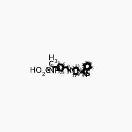 CC(NC(=O)O)C1CCC(CCN2CCN(c3nsc4ccccc34)CC2)CC1